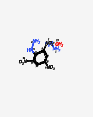 NN.NNc1c([N+](=O)[O-])cc([N+](=O)[O-])cc1[N+](=O)[O-].O